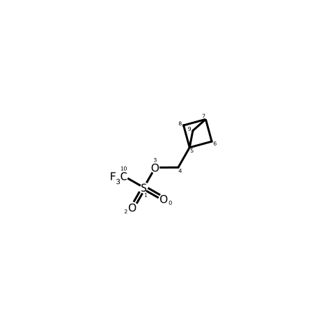 O=S(=O)(OCC12CC(C1)C2)C(F)(F)F